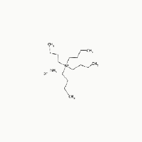 CCCC[N+](CCCC)(CCCC)CCCC.N.[Br-]